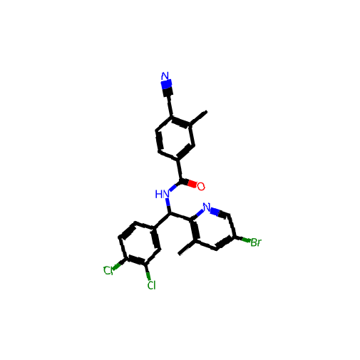 Cc1cc(C(=O)NC(c2ccc(Cl)c(Cl)c2)c2ncc(Br)cc2C)ccc1C#N